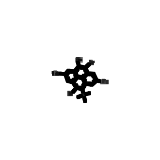 CC(C)(C)c1cc2c(S)c(Br)c3cc(C(C)(C)C)cc4c([Si](C)(C)C)c(Br)c(c1)c2c34